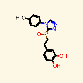 Cc1ccc(-n2cnnc2[S+]([O-])CCc2ccc(O)c(O)c2)cc1